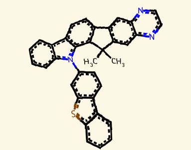 CC1(C)c2cc3nccnc3cc2-c2ccc3c4ccccc4n(-c4ccc5c(c4)sc4ccccc45)c3c21